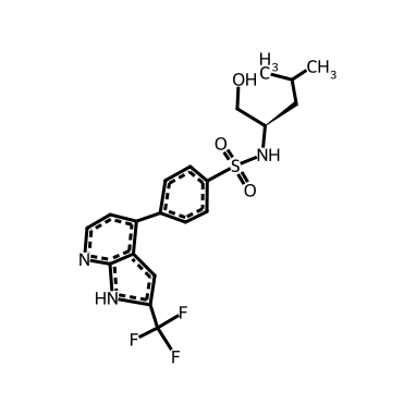 CC(C)C[C@H](CO)NS(=O)(=O)c1ccc(-c2ccnc3[nH]c(C(F)(F)F)cc23)cc1